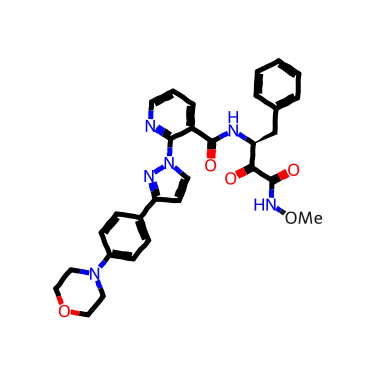 CONC(=O)C(=O)[C@H](Cc1ccccc1)NC(=O)c1cccnc1-n1ccc(-c2ccc(N3CCOCC3)cc2)n1